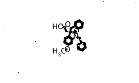 COc1ccc2c(c1)N(Cc1ccccc1)C(=O)[C@@]2(CC(=O)O)Cc1ccccc1